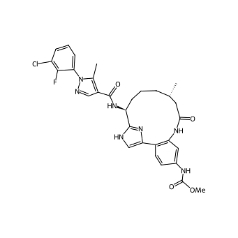 COC(=O)Nc1ccc2c(c1)NC(=O)C[C@@H](C)CCC[C@H](NC(=O)c1cnn(-c3cccc(Cl)c3F)c1C)c1nc-2c[nH]1